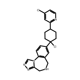 Clc1ccnc(C2CCC(Cl)(c3ccc4c(c3)CNCc3nncn3-4)CC2)c1